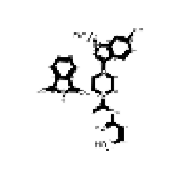 CCOC(=O)n1nc(N2CCN(C(C)OC(=O)/C=C\C(=O)O)CC2)c2ccc(F)cc21.O=C1NC(=O)c2ccccc21